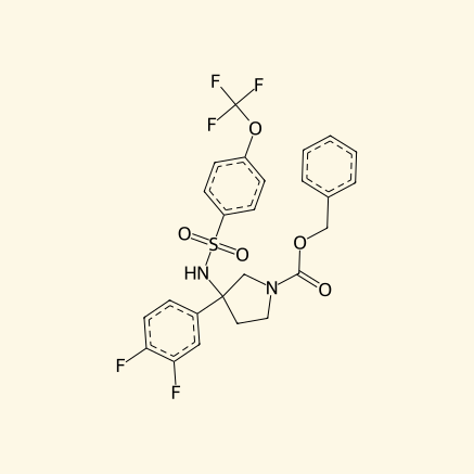 O=C(OCc1ccccc1)N1CCC(NS(=O)(=O)c2ccc(OC(F)(F)F)cc2)(c2ccc(F)c(F)c2)C1